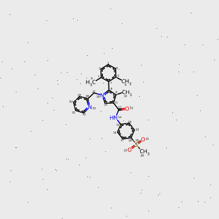 Cc1cccc(C)c1-c1c(C)c(C(=O)Nc2ccc(S(C)(=O)=O)cc2)cn1Cc1ccccn1